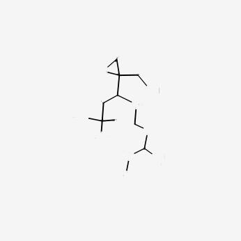 CCC1(C(CC(C)(C)O)OCOC(C)OC)CO1